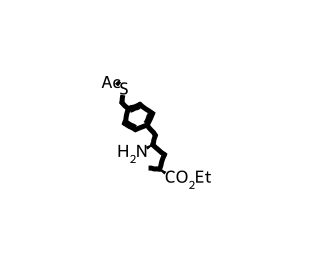 CCOC(=O)[C@@H](C)C[C@@H](N)Cc1ccc(CSC(C)=O)cc1